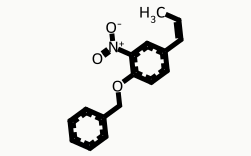 C/C=C\c1ccc(OCc2ccccc2)c([N+](=O)[O-])c1